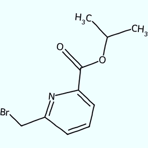 CC(C)OC(=O)c1cccc(CBr)n1